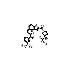 CC(=O)NC1CCN(C(=O)c2cc3c(ccc4cnc(Nc5cccc([S+](C)[O-])c5)nc43)s2)C1